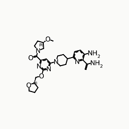 C=C(N)c1nc(C2CCN(c3cc(C(=O)N4CC[C@@H](OC)C4)nc(OC[C@H]4CCCO4)n3)CC2)ccc1N